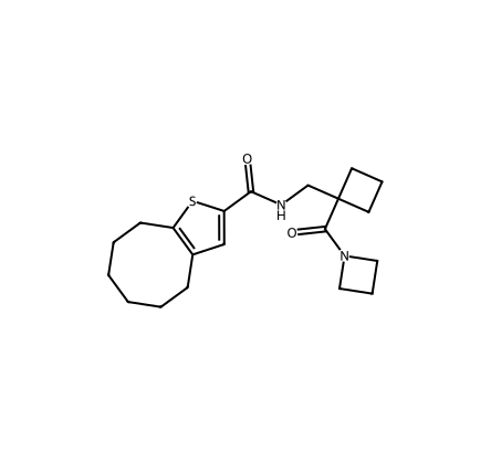 O=C(NCC1(C(=O)N2CCC2)CCC1)c1cc2c(s1)CCCCCC2